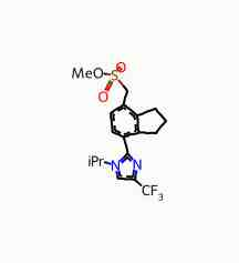 COS(=O)(=O)Cc1ccc(-c2nc(C(F)(F)F)cn2C(C)C)c2c1CCC2